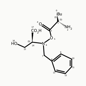 CC[C@H](C)[C@H](N)C(=O)ON(Cc1ccccc1)[C@@H](CO)C(=O)O